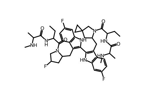 CCC(NC(=O)C(C)NC)C(=O)N1CC(F)CC1Cc1c(-c2[nH]c3cc(F)ccc3c2CC2CC3(CC3)CN2C(=O)C(CC)NC(=O)C(C)NC)[nH]c2cc(F)ccc12